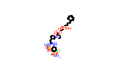 NS(=O)(=O)c1cc2c(cc1Cl)NC(Cc1ccc(O[C@@]3(C(=O)OC(=O)CP(=O)(O)CCCCc4ccccc4)CCCN3)cc1)NS2(=O)=O